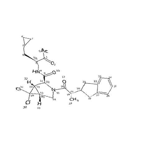 CC(=O)C(=O)[C@H](CC1CC1)NC(=O)[C@@H]1[C@@H]2[C@H](CN1C(=O)[C@@H](C)C1Cc3ccccc3C1)C2(Cl)Cl